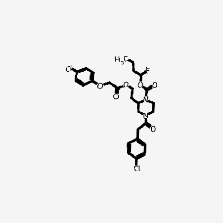 CCCC(F)OC(=O)N1CCN(C(=O)Cc2ccc(Cl)cc2)CC1CCOC(=O)COc1ccc(Cl)cc1